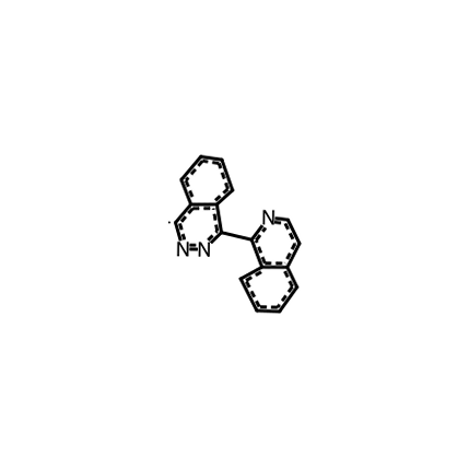 [c]1nnc(-c2nccc3ccccc23)c2ccccc12